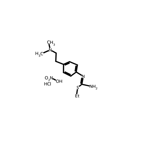 CCSC(N)=Nc1ccc(CCN(C)C)cc1.Cl.O=[N+]([O-])O